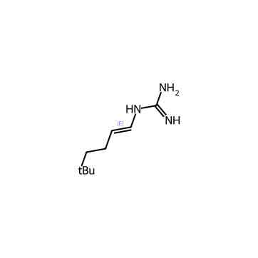 CC(C)(C)CC/C=C/NC(=N)N